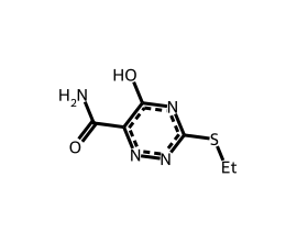 CCSc1nnc(C(N)=O)c(O)n1